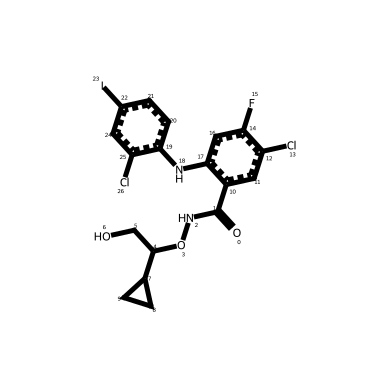 O=C(NOC(CO)C1CC1)c1cc(Cl)c(F)cc1Nc1ccc(I)cc1Cl